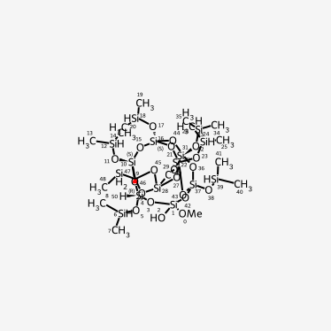 CO[Si]1(O)O[Si@H](O[SiH](C)C)O[Si@]2(O[SiH](C)C)O[Si@]3(O[SiH](C)C)O[Si]4(O[SiH](C)C)O[Si]5(CO[Si@@](O[SiH](C)C)(O[Si](O[SiH](C)C)(O1)O4)O3)OC2([SiH2]C)O5